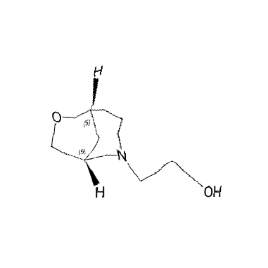 OCCN1C[C@@H]2C[C@H]1CO2